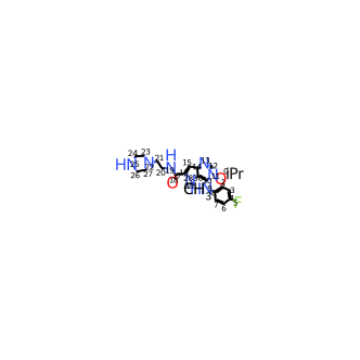 CC(C)Oc1cc(F)ccc1Nc1ncnc2cc(C(=O)NCCN3CCNCC3)n(C)c12